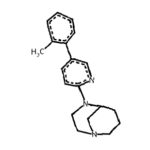 Cc1ccccc1-c1ccc(N2CCN3CCCC2C3)nc1